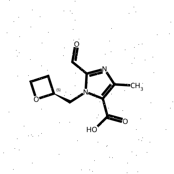 Cc1nc(C=O)n(C[C@@H]2CCO2)c1C(=O)O